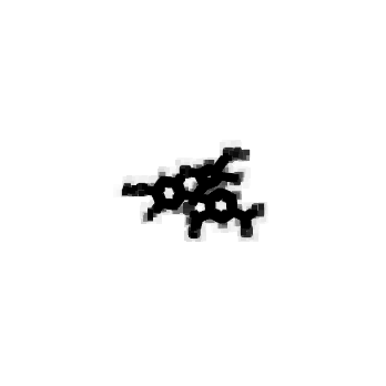 CC(=O)Oc1cc2c(cc1F)C1(OC(=O)c3cc(C(=O)Cl)ccc31)c1cc(F)c(OC(C)=O)cc1O2